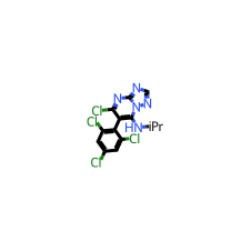 CC(C)Nc1c(-c2c(Cl)cc(Cl)cc2Cl)c(Cl)nc2ncnn12